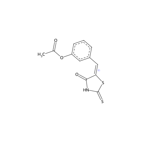 CC(=O)Oc1cccc(/C=C2/SC(=S)NC2=O)c1